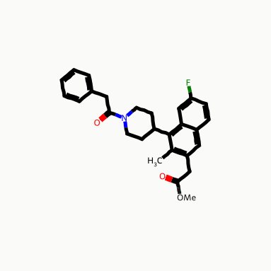 COC(=O)Cc1cc2ccc(F)cc2c(C2CCN(C(=O)Cc3ccccc3)CC2)c1C